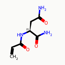 C=CC(=O)N[C@@H](CC(N)=O)C(N)=O